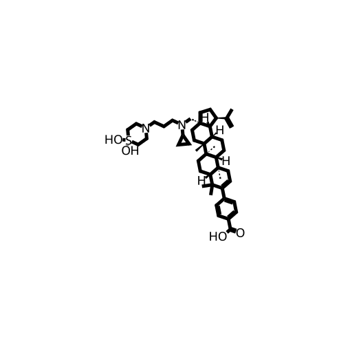 C=C(C)[C@@H]1CC[C@]2(CN(CCCN3CCS(O)(O)CC3)C3CC3)CC[C@]3(C)[C@H](CC[C@@H]4[C@@]5(C)CC=C(c6ccc(C(=O)O)cc6)C(C)(C)[C@@H]5CC[C@]43C)[C@@H]12